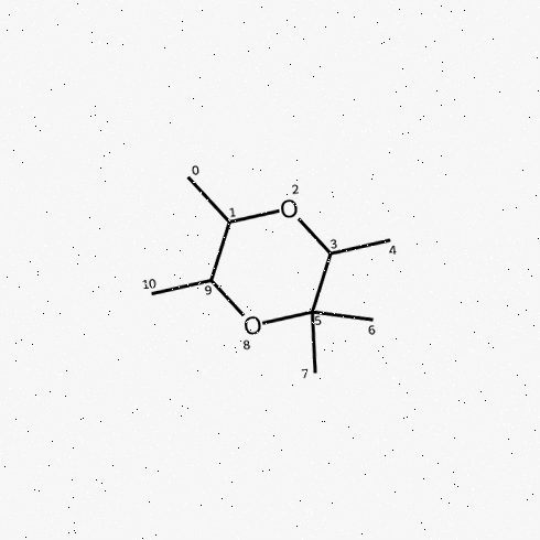 CC1OC(C)C(C)(C)OC1C